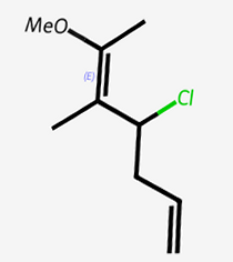 C=CCC(Cl)/C(C)=C(\C)OC